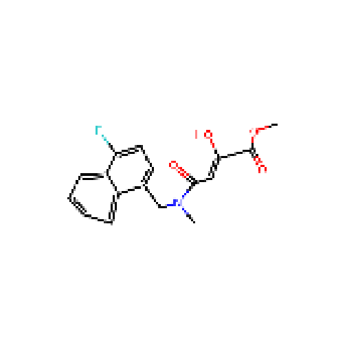 COC(=O)/C(O)=C/C(=O)N(C)Cc1ccc(F)c2ccccc12